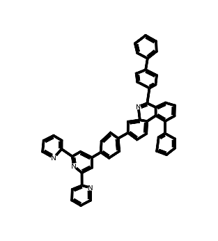 c1ccc(-c2ccc(-c3nc4cc(-c5ccc(-c6cc(-c7ccccn7)nc(-c7ccccn7)c6)cc5)ccc4c4c(-c5ccccc5)cccc34)cc2)cc1